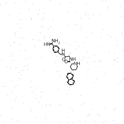 C[C@H](NC(=O)[C@H]1C[C@@H](c2ccc3ccccc3c2)CCN1)C(=O)NCc1ccc(C(=N)N)cc1